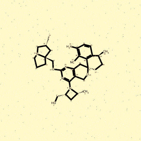 C[C@@H]1C[C@H](CO)N1c1nc(OC[C@@]23CCCN2C[C@H](F)C3)nc2c1CO[C@@]1(CC[C@H](C)c3ccc(N)c(C#N)c31)C2